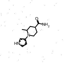 CC1CC(C(N)=O)CCN1c1cc[nH]c1